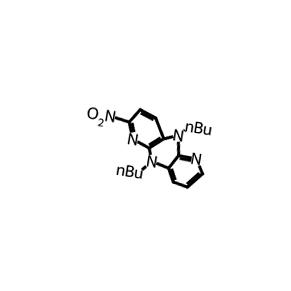 CCCCN1c2ccc([N+](=O)[O-])nc2N(CCCC)c2cccnc21